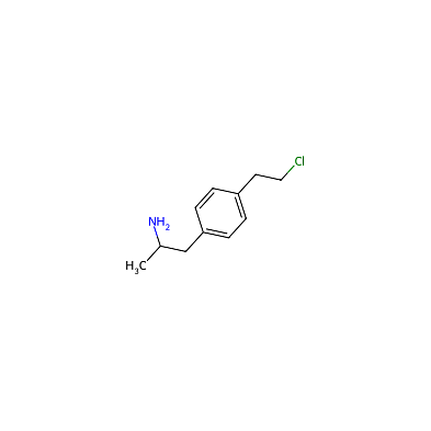 CC(N)Cc1ccc(CCCl)cc1